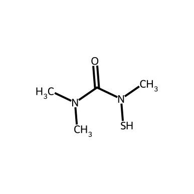 CN(C)C(=O)N(C)S